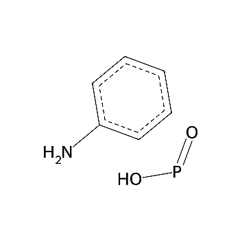 Nc1ccccc1.O=PO